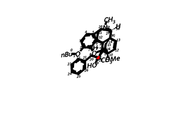 CCCCOc1ccc2c3c1O[C@H]1[C@@]4(OC)C=C[C@@]5(C[C@@H]4[C@@](C)(O)Cc4ccccc4)[C@@H](C2)N(C)CC[C@]315